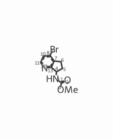 COC(=O)NC1CCc2c(Br)ccnc21